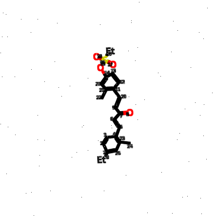 CCc1ccc(/C=C/C(=O)/C=C/c2ccc(OS(=O)(=O)CC)cc2C)c(C)c1